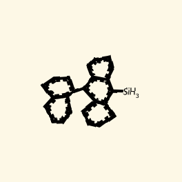 [SiH3]c1c2ccccc2c(-c2cccc3ccccc23)c2ccccc12